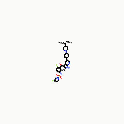 CCc1c(NS(=O)(=O)N2CC[C@@H](F)C2)ccc(F)c1C(=O)c1c[nH]c2ncc(-c3ccc(N4CCC(C(OC)OC)CC4)cc3)cc12